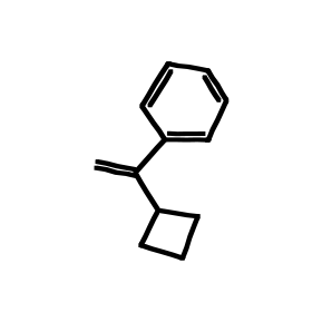 C=C(c1ccccc1)C1CCC1